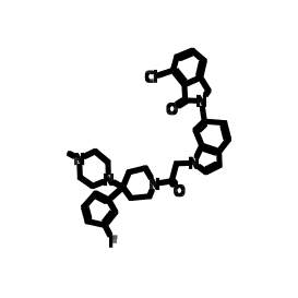 CN1CCN(C2(c3cccc(F)c3)CCN(C(=O)Cn3ccc4ccc(N5Cc6cccc(Cl)c6C5=O)cc43)CC2)CC1